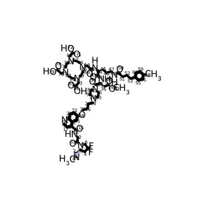 C/N=C/[C@H]1CC(F)(F)CN1C(=O)CNC(=O)c1ccnc2ccc(OCCCCN3CCN(C(=O)[C@H](CC(=O)OC)NC(=O)[C@H](CCCNC(=O)CCCc4ccc(C)cc4)NC(=O)CN4CCN(CC(=O)O)CCN(CC(=O)O)CCN(CC(=O)O)CC4)CC3)cc12